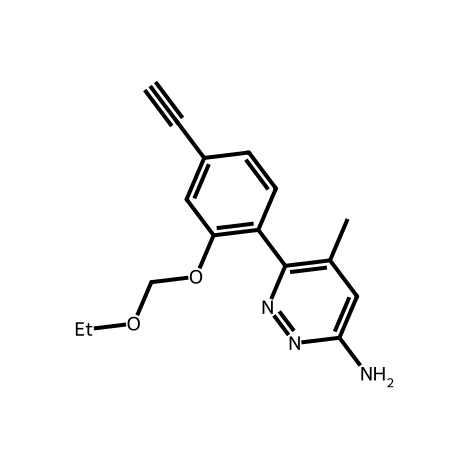 C#Cc1ccc(-c2nnc(N)cc2C)c(OCOCC)c1